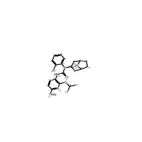 CCc1ccccc1N(C(=O)Nc1ccc(OC)nc1OC(F)F)C1CC2CCC(C1)N2C(C)=O